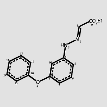 CCOC(=O)/C=N/Nc1cccc(Oc2ccccc2)c1